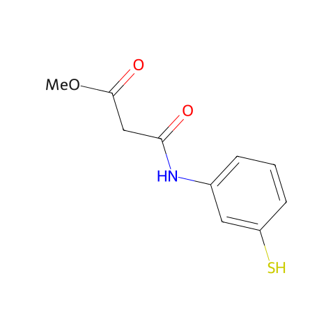 COC(=O)CC(=O)Nc1cccc(S)c1